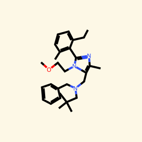 CCc1cccc(C)c1-c1nc(C)c(CN(Cc2ccccc2)CC(C)(C)C)n1CCOC